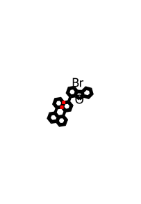 Brc1ccc(-c2ccc(-c3cccc4cccc(-c5ccccc5)c34)cc2)c2oc3ccccc3c12